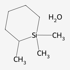 CC1CCCC[Si]1(C)C.O